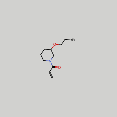 C=CC(=O)N1CCCC(OCCC(C)(C)C)C1